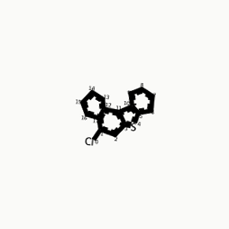 Clc1cc2sc3ccccc3c2c2ccccc12